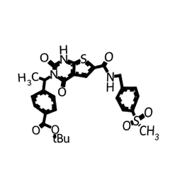 CC(c1ccc(C(=O)OC(C)(C)C)cc1)n1c(=O)[nH]c2sc(C(=O)NCc3ccc(S(C)(=O)=O)cc3)cc2c1=O